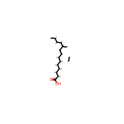 CC.CCCCC(C)CCCCCCCCC(=O)O